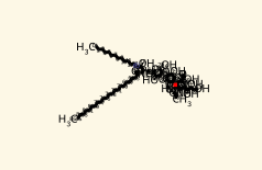 CCCCCCCCCCCCC/C=C/[C@@H](O)[C@H](CO[C@@H]1O[C@H](CO)[C@@H](O[C@@H]2O[C@H](CO)[C@H](O)[C@H](O[C@]3(C(=O)O)C[C@H](O)[C@@H](NC(C)=O)[C@H]([C@H](O)[C@H](O)CO)O3)[C@H]2O)[C@H](O)[C@H]1O)NC(=O)CCCCCCCCCCCCCCCCCCCCCC